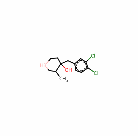 CC1CBCCC1(O)Cc1ccc(Cl)c(Cl)c1